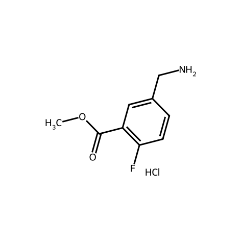 COC(=O)c1cc(CN)ccc1F.Cl